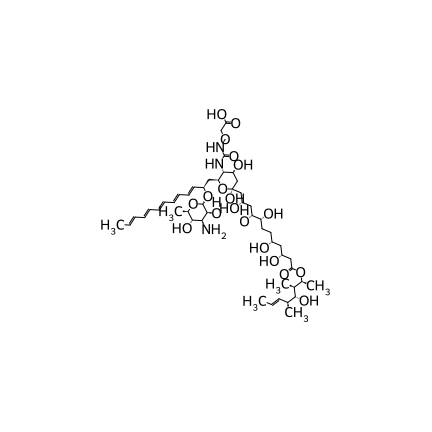 C/C=C/C=C/C=C/C=C/C=C/[C@@H](C[C@@H]1O[C@](O)(C[C@@H](O)C[C@@H](O)[C@H](O)CC[C@@H](O)C[C@@H](O)CC(=O)O[C@@H](C)[C@H](C)[C@H](O)[C@@H](C)/C=C/C)C[C@H](O)[C@H]1NC(=O)NOCC(=O)O)O[C@@H]1O[C@H](C)[C@@H](O)[C@H](N)[C@@H]1O